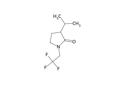 CC(C)C1CCN(CC(F)(F)F)C1=O